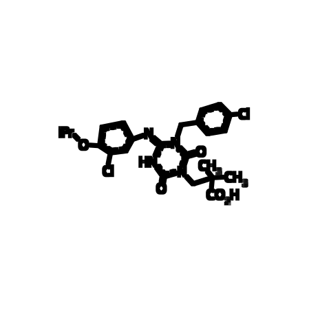 CC(C)Oc1ccc(/N=c2\[nH]c(=O)n(CC(C)(C)C(=O)O)c(=O)n2Cc2ccc(Cl)cc2)cc1Cl